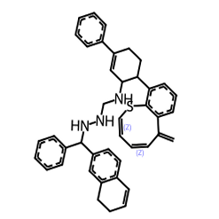 C=C1/C=C\C=C/Sc2c1cccc2C1CCC(c2ccccc2)=CC1NCNNC(c1ccccc1)c1ccc2c(c1)CCC=C2